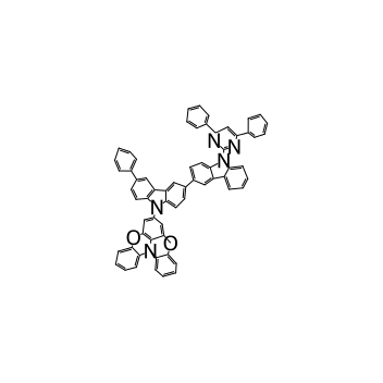 c1ccc(-c2ccc3c(c2)c2cc(-c4ccc5c(c4)c4ccccc4n5-c4nc(-c5ccccc5)cc(-c5ccccc5)n4)ccc2n3-c2cc3c4c(c2)Oc2ccccc2N4c2ccccc2O3)cc1